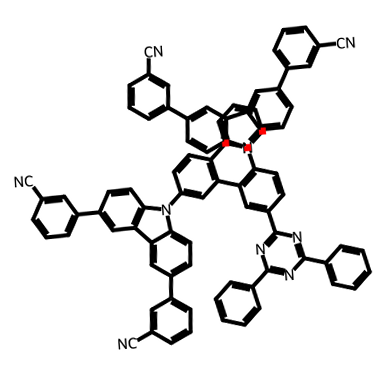 N#Cc1cccc(-c2ccc3c(c2)c2cc(-c4cccc(C#N)c4)ccc2n3-c2ccc(-c3ccccn3)c(-c3cc(-c4nc(-c5ccccc5)nc(-c5ccccc5)n4)ccc3-n3c4ccc(-c5cccc(C#N)c5)cc4c4cc(-c5cccc(C#N)c5)ccc43)c2)c1